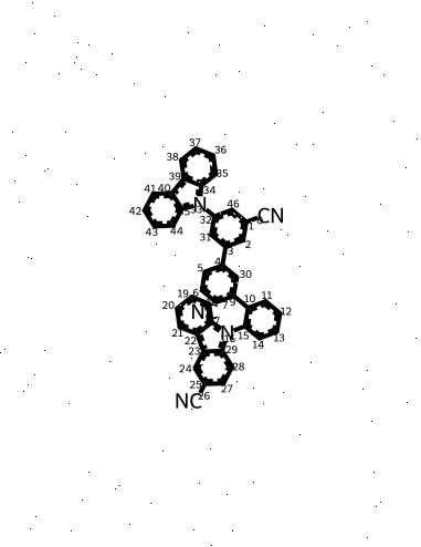 N#Cc1cc(-c2ccc(C#N)c(-c3ccccc3-n3c4ccccc4c4cc(C#N)ccc43)c2)cc(-n2c3ccccc3c3ccccc32)c1